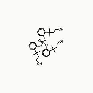 CC(C)(CCO)c1ccccc1OP(=O)(Oc1ccccc1C(C)(C)CCO)Oc1ccccc1C(C)(C)CCO